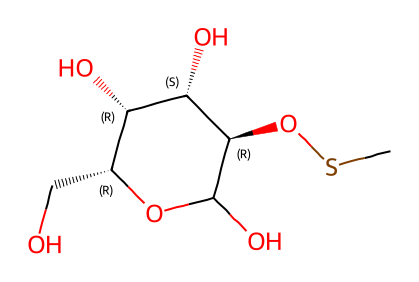 CSO[C@H]1C(O)O[C@H](CO)[C@H](O)[C@@H]1O